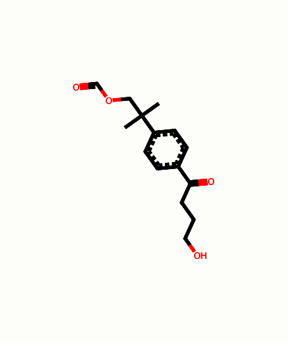 CC(C)(COC=O)c1ccc(C(=O)CCCO)cc1